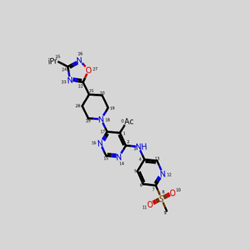 CC(=O)c1c(Nc2ccc(S(C)(=O)=O)nc2)ncnc1N1CCC(c2nc(C(C)C)no2)CC1